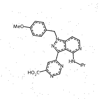 COc1ccc(Cn2nc(-c3cc(C(=O)O)ncn3)c3c(NC(C)C)nccc32)cc1